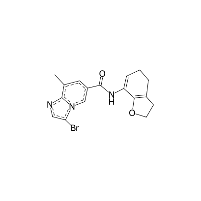 Cc1cc(C(=O)NC2=CCCC3=C2OCC3)cn2c(Br)cnc12